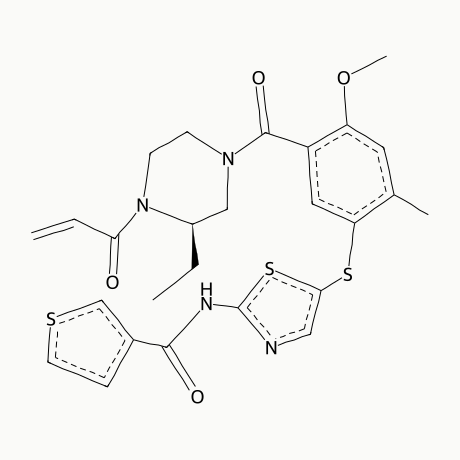 C=CC(=O)N1CCN(C(=O)c2cc(Sc3cnc(NC(=O)c4ccsc4)s3)c(C)cc2OC)C[C@H]1CC